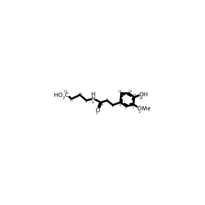 COc1cc(CCC(=O)NCCCC(=O)O)ccc1O